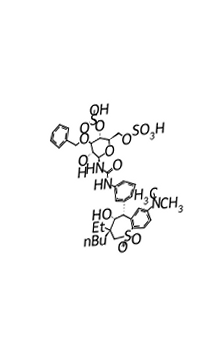 CCCC[C@]1(CC)CS(=O)(=O)c2ccc(N(C)C)cc2[C@@H](c2cccc(NC(=O)N[C@@H]3O[C@H](COS(=O)(=O)O)[C@@H](OS(=O)O)[C@H](OCc4ccccc4)[C@H]3O)c2)[C@H]1O